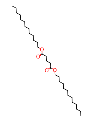 CCCCCCCCCCCCCOC(=O)CCCC(=O)OCCCCCCCCCCCCC